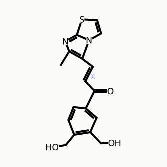 Cc1nc2sccn2c1/C=C/C(=O)c1ccc(CO)c(CO)c1